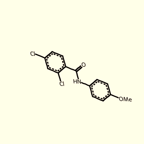 COc1ccc(NC(=O)c2ccc(Cl)cc2Cl)cc1